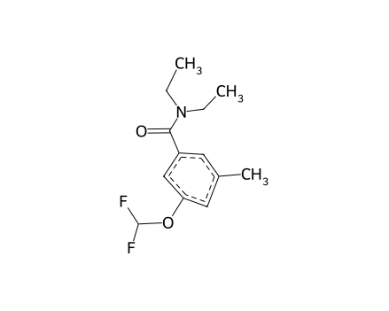 CCN(CC)C(=O)c1cc(C)cc(OC(F)F)c1